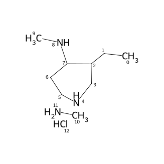 CCC1CNCCC1NC.CN.Cl